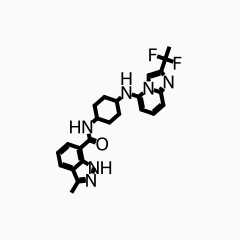 Cc1n[nH]c2c(C(=O)NC3CCC(Nc4cccc5nc(C(C)(F)F)cn45)CC3)cccc12